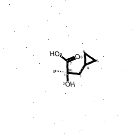 C[C@@](O)(CC1CC1)C(=O)O